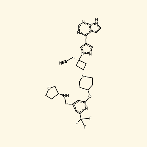 N#CC[C@]1(n2cc(-c3ncnc4[nH]ccc34)cn2)C[C@H](N2CCC(Oc3cc(CN[C@H]4CCOC4)cc(C(F)(F)F)n3)CC2)C1